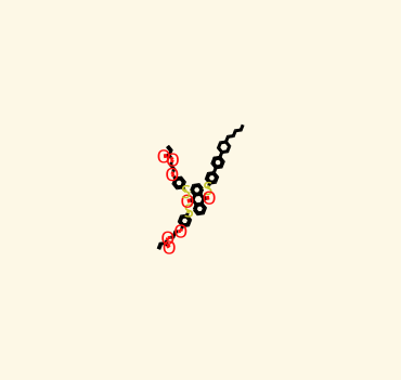 C=CC(=O)OCCOc1ccc(Sc2cccc3c2C(=O)c2c(Sc4ccc(OCCOC(=O)C=C)cc4)ccc(Sc4ccc(-c5ccc(C6CCC(CCCCC)CC6)cc5)cc4)c2C3=O)cc1